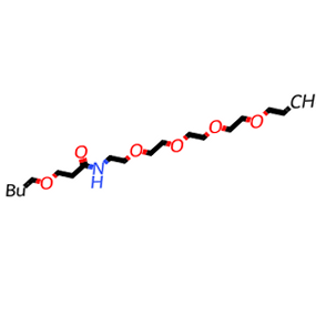 CCC(C)COCCC(=O)NCCOCCOCCOCCOCCC=O